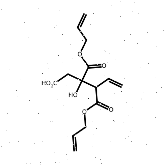 C=CCOC(=O)C(C=C)C(O)(CC(=O)O)C(=O)OCC=C